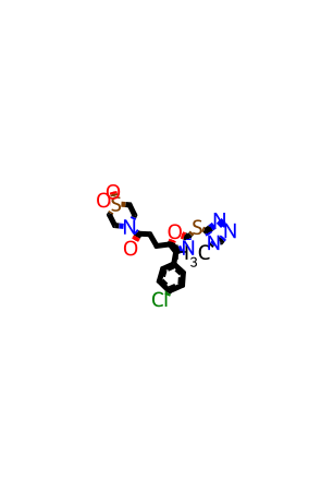 Cn1cnnc1Sc1nc(-c2ccc(Cl)cc2)c(CCC(=O)N2CCS(=O)(=O)CC2)o1